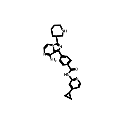 Nc1nccn2c(C3CCCCNC3)nc(-c3ccc(C(=O)Nc4cc(C5CC5)ccn4)cc3)c12